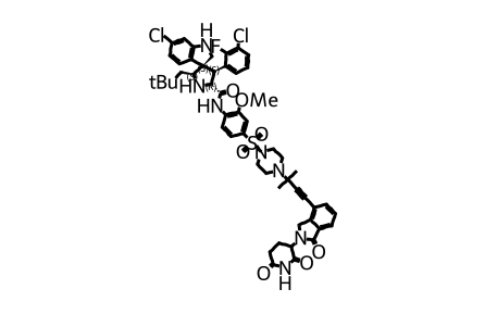 COc1cc(S(=O)(=O)N2CCN(C(C)(C)C#Cc3cccc4c3CN(C3CCC(=O)NC3=O)C4=O)CC2)ccc1NC(=O)[C@@H]1N[C@@H](CC(C)(C)C)[C@@]2(CNc3cc(Cl)ccc32)[C@H]1c1cccc(Cl)c1F